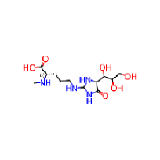 CN[C@@H](CCCNC1NC(=O)C(C(O)C(O)CO)N1)C(=O)O